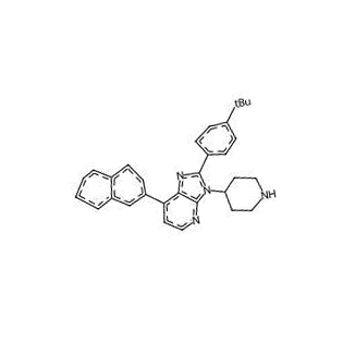 CC(C)(C)c1ccc(-c2nc3c(-c4ccc5ccccc5c4)ccnc3n2C2CCNCC2)cc1